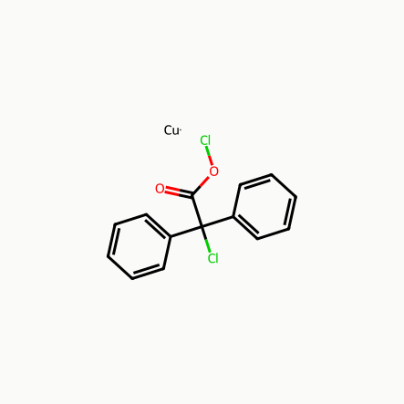 O=C(OCl)C(Cl)(c1ccccc1)c1ccccc1.[Cu]